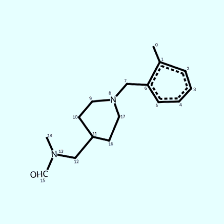 Cc1ccccc1CN1CCC(CN(C)C=O)CC1